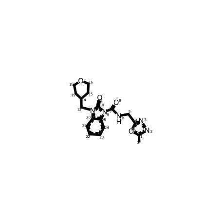 Cc1nnc(CNC(=O)n2c(=O)n(CC3CCOCC3)c3ccccc32)o1